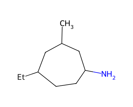 CCC1CCC(N)CC(C)C1